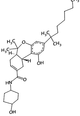 CCCCCCC(C)(C)c1cc(O)c2c(c1)OC(C)(C)[C@@H]1CC=C(C(=O)NC3CCC(O)CC3)C[C@@H]21